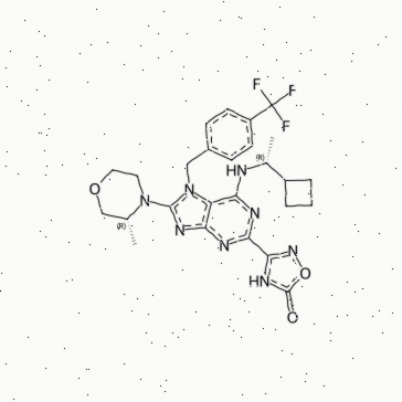 C[C@@H]1COCCN1c1nc2nc(-c3noc(=O)[nH]3)nc(N[C@H](C)C3CCC3)c2n1Cc1ccc(C(F)(F)F)cc1